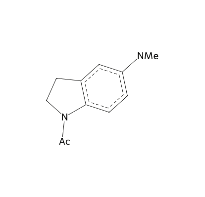 CNc1ccc2c(c1)CCN2C(C)=O